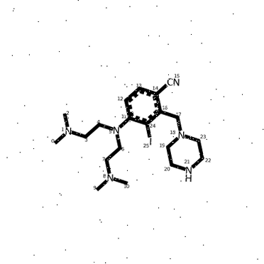 CN(C)CCN(CCN(C)C)c1ccc(C#N)c(CN2CCNCC2)c1I